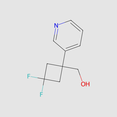 OCC1(c2cccnc2)CC(F)(F)C1